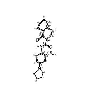 COc1cc(N2CCCC2)ccc1NC(=O)c1c[nH]c2ccccc2c1=O